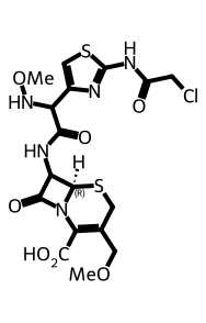 COCC1=C(C(=O)O)N2C(=O)C(NC(=O)C(NOC)c3csc(NC(=O)CCl)n3)[C@H]2SC1